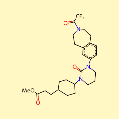 COC(=O)CCC1CCC(N2CCCN(c3ccc4c(c3)CCN(C(=O)C(F)(F)F)CC4)C2=O)CC1